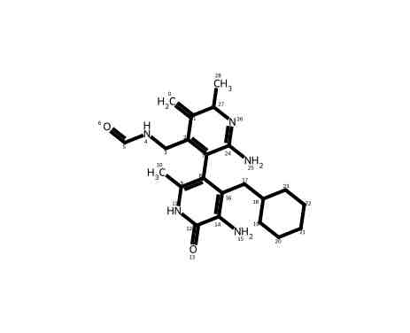 C=C1C(CNC=O)=C(c2c(C)[nH]c(=O)c(N)c2CC2CCCCC2)C(N)=NC1C